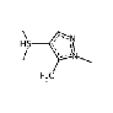 Cn1ncc([SH](C)C)c1C(F)(F)F